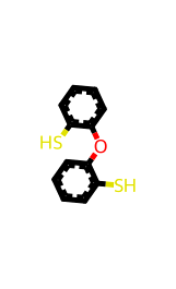 Sc1ccccc1Oc1ccccc1S